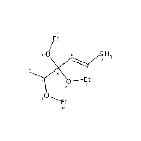 CCOC(C)C(C=C[SiH3])(OCC)OCC